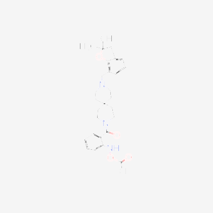 CC1(C)Cc2cccc(CN3CCC4(CC3)CCN(C(=O)c3ccccc3NOC(=O)C(F)(F)F)CC4)c2O1